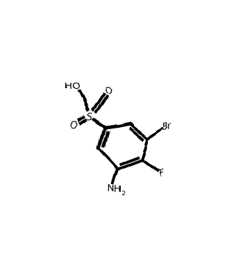 Nc1cc(S(=O)(=O)O)cc(Br)c1F